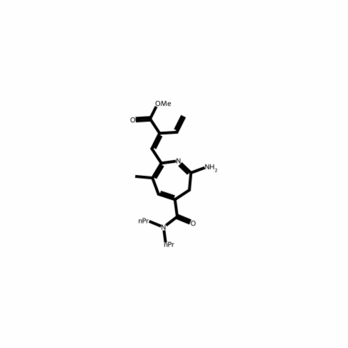 C=C/C(=C\C1=C(C)C=C(C(=O)N(CCC)CCC)CC(N)=N1)C(=O)OC